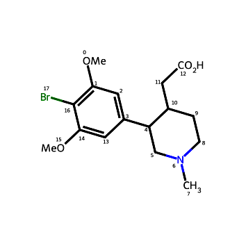 COc1cc(C2CN(C)CCC2CC(=O)O)cc(OC)c1Br